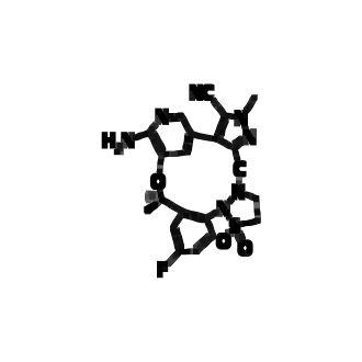 C[C@H]1Oc2cc(cnc2N)-c2c(nn(C)c2C#N)CN2CCS(=O)(=O)N2c2ccc(F)cc21